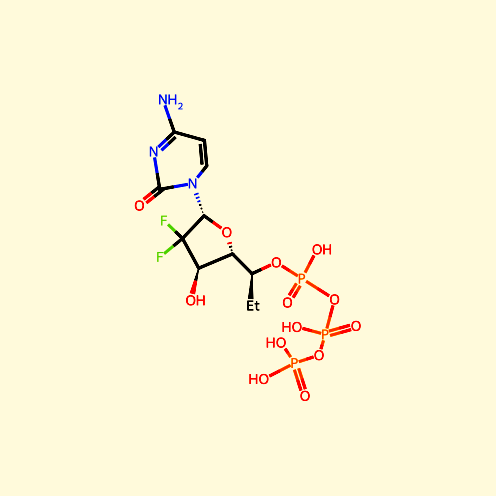 CC[C@H](OP(=O)(O)OP(=O)(O)OP(=O)(O)O)[C@H]1O[C@@H](n2ccc(N)nc2=O)C(F)(F)[C@@H]1O